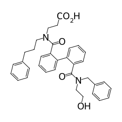 O=C(O)CCN(CCCc1ccccc1)C(=O)c1ccccc1-c1ccccc1C(=O)N(CCO)Cc1ccccc1